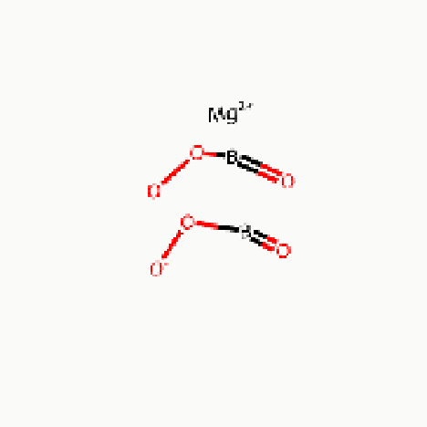 O=BO[O-].O=BO[O-].[Mg+2]